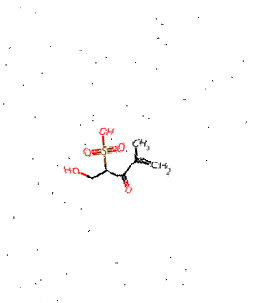 C=C(C)C(=O)C(CO)S(=O)(=O)O